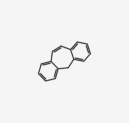 [C]1=Cc2ccccc2Cc2ccccc21